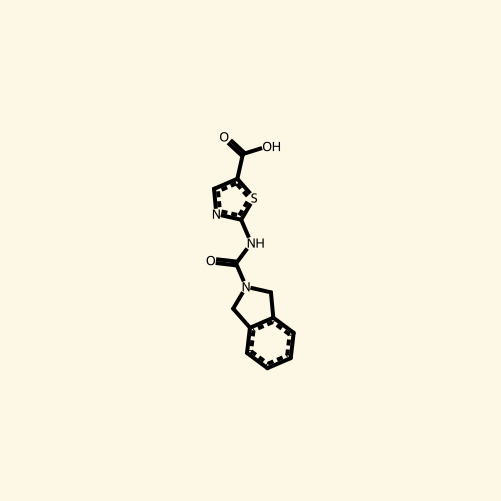 O=C(O)c1cnc(NC(=O)N2Cc3ccccc3C2)s1